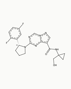 O=C(NC1(CO)CC1)c1cnn2cnc(N3CCC[C@@H]3c3cc(F)ccc3F)nc12